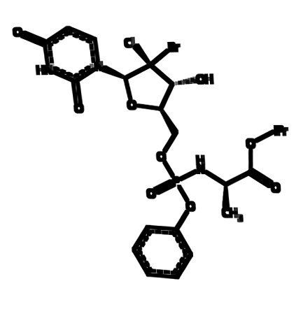 CC(C)OC(=O)[C@@H](C)NP(=O)(OC[C@H]1O[C@@H](n2ccc(=O)[nH]c2=O)[C@](Cl)(Br)[C@@H]1O)Oc1ccccc1